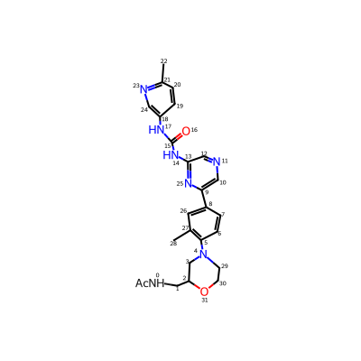 CC(=O)NCC1CN(c2ccc(-c3cncc(NC(=O)Nc4ccc(C)nc4)n3)cc2C)CCO1